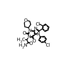 CC(C(N)=O)n1c(=O)c2c(nc(-c3ccccc3Cl)n2-c2ccc(Cl)cc2)n(C2CCOCC2)c1=O